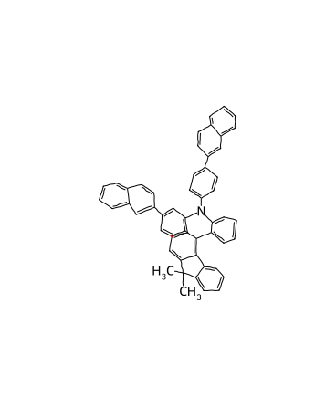 CC1(C)c2ccccc2-c2c(-c3ccccc3N(c3ccc(-c4ccc5ccccc5c4)cc3)c3cccc(-c4ccc5ccccc5c4)c3)cccc21